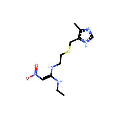 CCN/C(=C/[N+](=O)[O-])NCCSCc1[nH]cnc1C